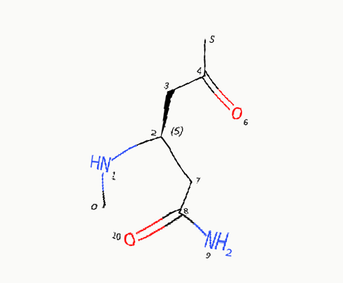 CN[C@@H](CC(C)=O)CC(N)=O